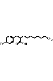 CCCCCCCCC(Cc1ccc(Br)cc1)C(=O)O